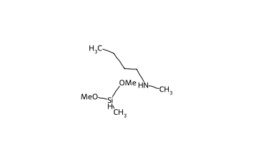 CCCCNC.CO[SiH](C)OC